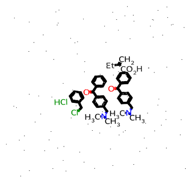 C=C(CC)C(=O)O.CN(C)Cc1ccc(C(=O)c2ccccc2)cc1.CN(C)Cc1ccc(C(=O)c2ccccc2)cc1.Cl.ClCc1ccccc1